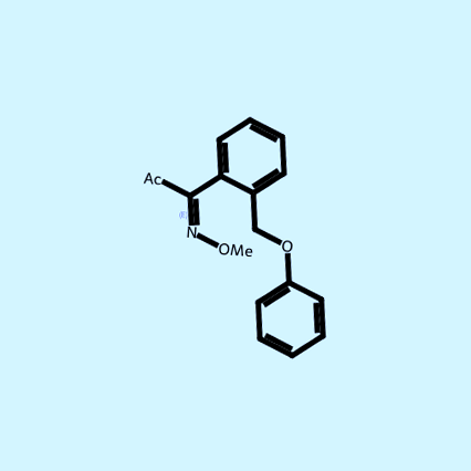 CO/N=C(/C(C)=O)c1ccccc1COc1ccccc1